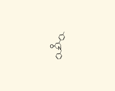 Cc1ccc(C2=CC(=O)CN(Cc3ccccc3)C2)cc1